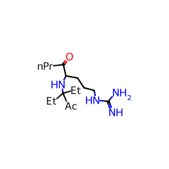 CCCC(=O)C(CCCNC(=N)N)NC(CC)(CC)C(C)=O